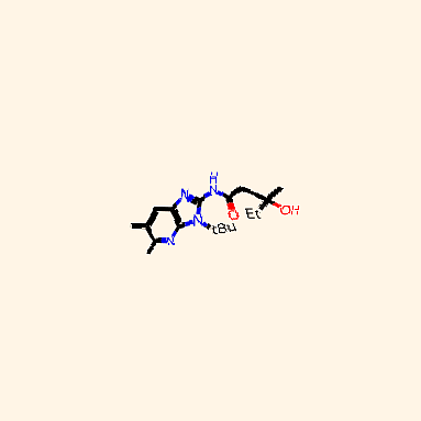 CCC(C)(O)CC(=O)Nc1nc2cc(C)c(C)nc2n1C(C)(C)C